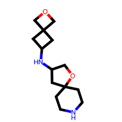 C1CC2(CCN1)CC(NC1CC3(COC3)C1)CO2